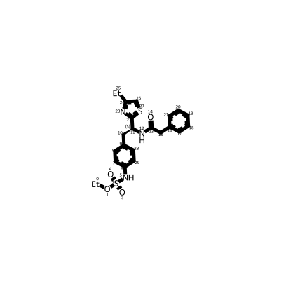 CCOS(=O)(=O)Nc1ccc(C[C@H](NC(=O)Cc2ccccc2)c2nc(CC)cs2)cc1